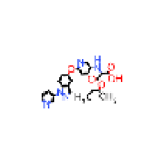 CCC(C)OC(=O)C(Nc1ccc(Oc2ccc3c(cnn3-c3cccnc3)c2)nc1)C(=O)O